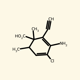 C#CC1=C(N)C(Cl)=CC(C)C1(C)C(=O)O